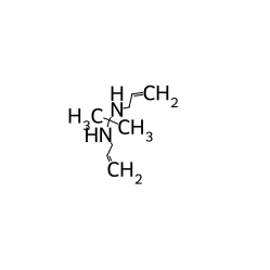 C=CCNC(C)(C)NCC=C